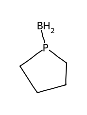 BP1CCCC1